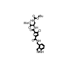 COC(=O)C(CNC(=O)OC(C)(C)C)NC(=O)c1sc(C(=O)NCc2cccc3[nH]ncc23)cc1Cl